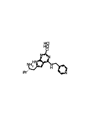 CC(C)[C@H](N)Cc1cc2c(NCc3ccncc3)nc(Cl)nc2[nH]1.Cl.Cl